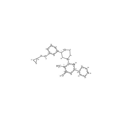 Cn1c(N2CCOC(c3cccc(OCC4CC4)c3)C2)nc(-c2ccncc2)cc1=O